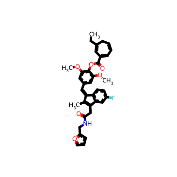 CCC1=CC(C(=O)Oc2c(OC)cc(/C=C3/C(C)=C(CC(=O)NCc4ccco4)c4cc(F)ccc43)cc2OC)=CC=CC1